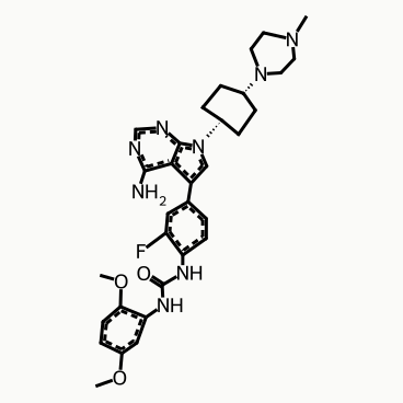 COc1ccc(OC)c(NC(=O)Nc2ccc(-c3cn([C@H]4CC[C@@H](N5CCN(C)CC5)CC4)c4ncnc(N)c34)cc2F)c1